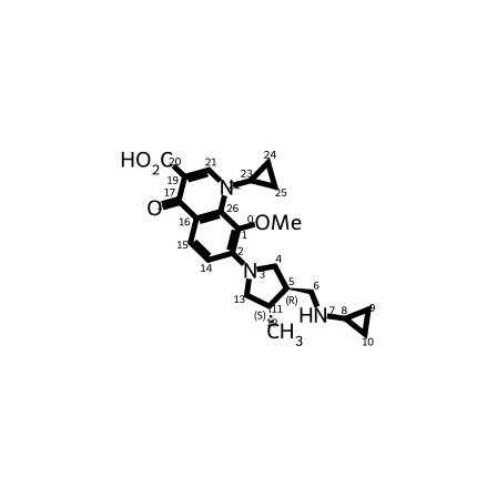 COc1c(N2C[C@@H](CNC3CC3)[C@H](C)C2)ccc2c(=O)c(C(=O)O)cn(C3CC3)c12